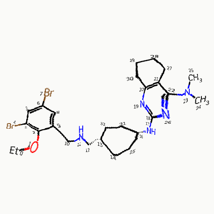 CCOc1c(Br)cc(Br)cc1CNC[C@H]1CC[C@@H](Nc2nc3c(c(N(C)C)n2)CCCC3)CC1